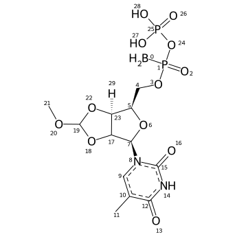 BP(=O)(OC[C@H]1O[C@@H](n2cc(C)c(=O)[nH]c2=O)C2OC(OC)O[C@H]21)OP(=O)(O)O